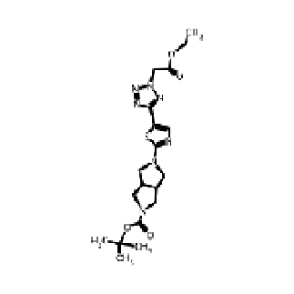 CCOC(=O)Cn1nnc(-c2cnc(N3CC4CN(C(=O)OC(C)(C)C)CC4C3)s2)n1